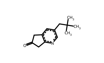 CC(C)(C)Cc1cnc2c(c1)CC(=O)C2